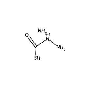 N.NNC(=O)S